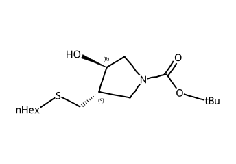 CCCCCCSC[C@H]1CN(C(=O)OC(C)(C)C)C[C@@H]1O